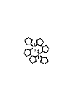 C1CCC([PH]([Pd][PH](C2CCCC2)(C2CCCC2)C2CCCC2)(C2CCCC2)C2CCCC2)C1